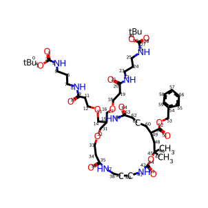 CC(C)(C)OC(=O)NCCCNC(=O)CCOCC1(COCCC(=O)NCCCNC(=O)OC(C)(C)C)COCCC(=O)NCCCNC(=O)OC(C)(C)CC(C(=O)OCc2ccccc2)CCCC(=O)N1